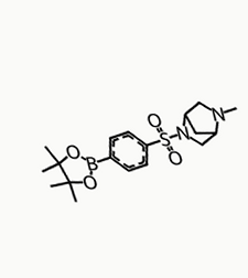 CN1CC2CC1CN2S(=O)(=O)c1ccc(B2OC(C)(C)C(C)(C)O2)cc1